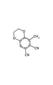 Cc1c(C#N)c(C#N)cc2c1OCCO2